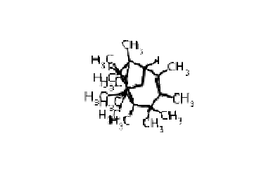 CC1=C(C)C2(I)CC3(C)C(C)(C)C2(C)C(C)(I)C(C)(C)C3(C)C1(C)C